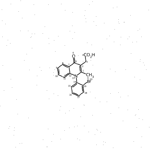 Cc1c(CC(=O)O)c(=O)c2ccccc2n1-c1ccccc1Br